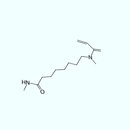 C=CC(=C)N(C)CCCCCCCC(=O)NC